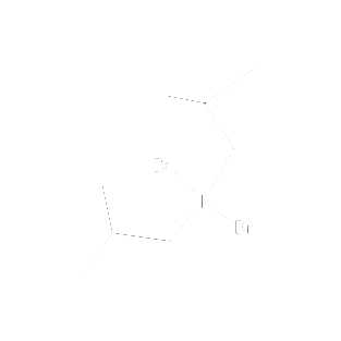 CC(C)[CH2][Ti]([Br])([Br])[CH2]C(C)C